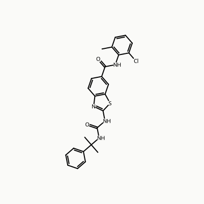 Cc1cccc(Cl)c1NC(=O)c1ccc2nc(NC(=O)NC(C)(C)c3ccccc3)sc2c1